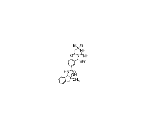 CCC[C@H](c1cccc(C(=O)N[C@@H]2c3ccccc3CC2(C)O)c1)N1C(=N)NC(CC)(CC)CC1=O